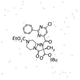 CCOC(=O)N1CCN(C(=O)[C@](C)(NC(=O)c2cc(Cl)nc(-c3ccccc3)n2)C(=O)OC(C)(C)C)CC1